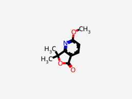 COc1ccc2c(n1)C(C)(C)OC2=O